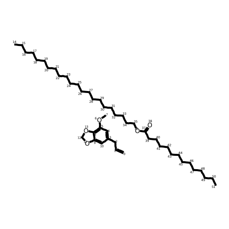 C=CCc1cc(OC)c2c(c1)OCO2.CCCCCCCCCCCCCCCCCCCCCCOC(=O)CCCCCCCCCCCCC